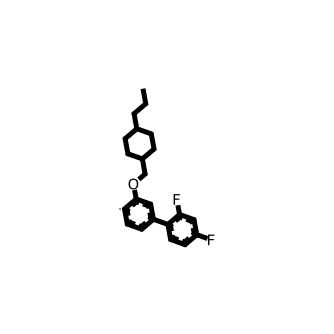 CCCC1CCC(COc2[c]ccc(-c3ccc(F)cc3F)c2)CC1